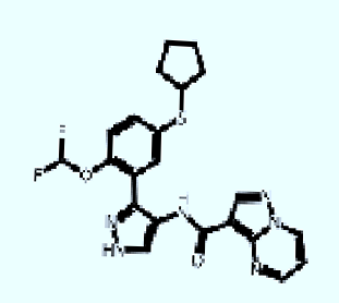 O=C(Nc1c[nH]nc1-c1cc(SC2CCCC2)ccc1OC(F)F)c1cnn2cccnc12